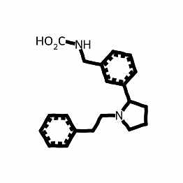 O=C(O)NCc1cccc(C2CCCN2CCc2ccccc2)c1